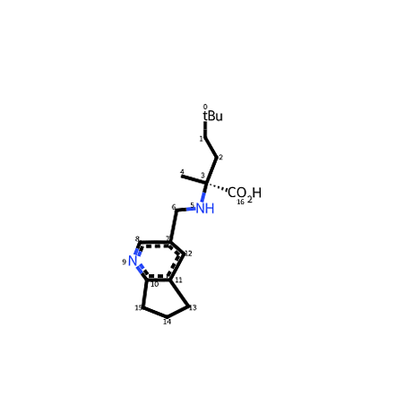 CC(C)(C)CC[C@](C)(NCc1cnc2c(c1)CCC2)C(=O)O